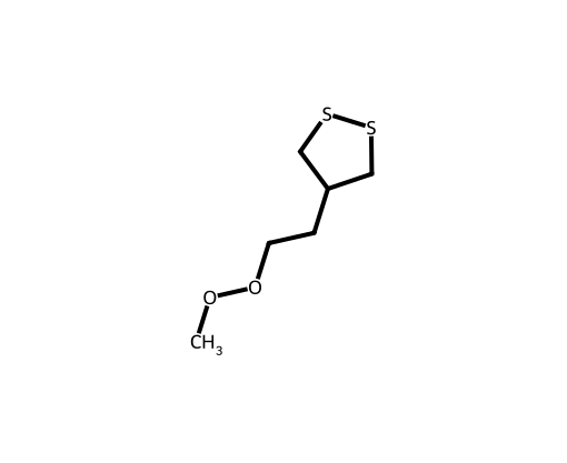 COOCCC1CSSC1